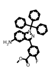 COC(=O)c1cc(-c2nn(C(c3ccccc3)(c3ccccc3)c3ccccc3)c3ccc(N)cc23)ccc1F